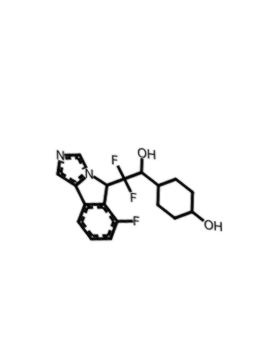 OC1CCC(C(O)C(F)(F)C2c3c(F)cccc3-c3cncn32)CC1